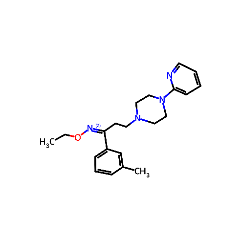 CCO/N=C(/CCN1CCN(c2ccccn2)CC1)c1cccc(C)c1